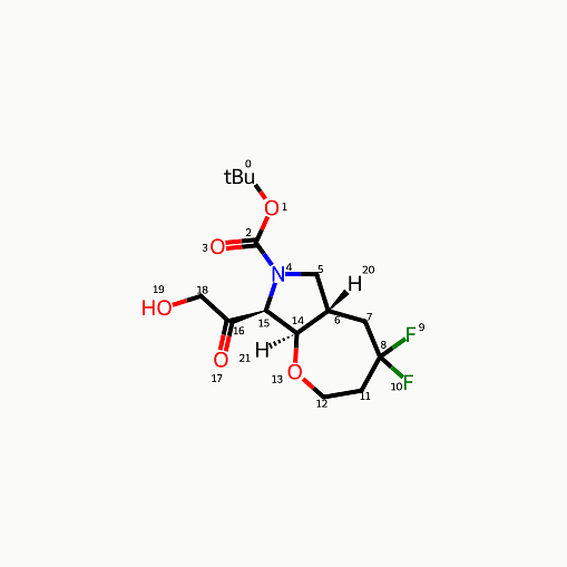 CC(C)(C)OC(=O)N1C[C@@H]2CC(F)(F)CCO[C@H]2[C@H]1C(=O)CO